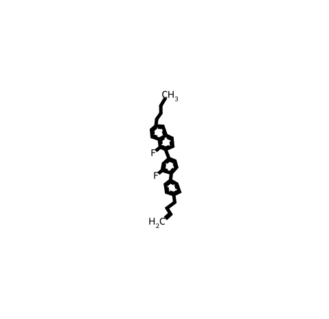 C=CCCc1ccc(-c2ccc(-c3ccc4cc(CCCCC)ccc4c3F)cc2F)cc1